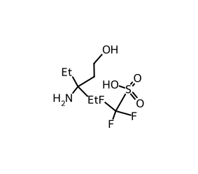 CCC(N)(CC)CCO.O=S(=O)(O)C(F)(F)F